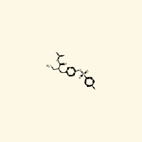 Cc1ccc(S(=O)(=O)Oc2ccc(CC(CN)C(=O)OC(C)C)cc2)cc1